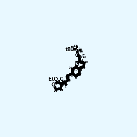 CCOC(=O)C(C)(/C=C/c1ccc2ccc([C@@H](C)O[Si](C)(C)C(C)(C)C)nc2c1)C1CCOC1